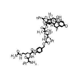 CCCC1O[C@@H]2CC3[C@@H]4C[C@H](F)C5=CC(=O)C=C[C@]5(C)[C@@]4(F)[C@@H](O)C[C@]3(C)[C@]2(C(=O)COC(=O)C(C)(C)NC(=O)[C@H](CC(C)C)NC(=O)OCc2ccc(NC(=O)[C@H](CCCNC(N)=O)NC(=O)[C@@H](N)C(C)C)cc2)O1